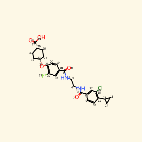 O=C(NCCNC(=O)c1ccc(C2CC2)c(Cl)c1)c1ccc(O[C@H]2CC[C@@H](C(=O)O)CC2)c(F)c1